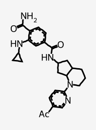 CC(=O)c1ccc(N2CCCC3CC(NC(=O)c4ccc(C(N)=O)c(NC5CC5)c4)CC32)nc1